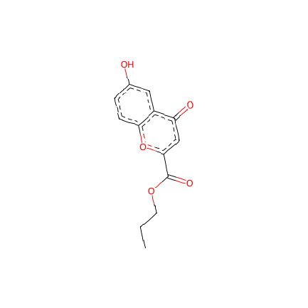 CCCOC(=O)c1cc(=O)c2cc(O)ccc2o1